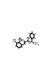 CC(=O)C(=Cc1cccc(Cl)c1Cl)C(=O)O[C@@H](c1ccccc1)C(Cl)(Cl)Cl